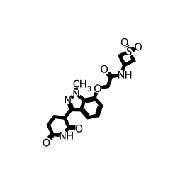 Cn1nc(C2CCC(=O)NC2=O)c2cccc(OCC(=O)NC3CS(=O)(=O)C3)c21